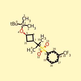 CC(C)(C)[Si](C)(C)O[C@H]1C[C@@H](C(C)(C)S(=O)(=O)c2cccc(C(F)(F)F)c2)C1